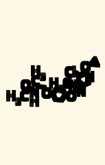 CC(=O)N[C@@H](C)CO[C@H]1CC[C@H](Oc2nc3cnc(OC4CC4)c(Cl)c3n2C)CC1